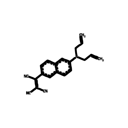 C=CCN(CC=C)c1ccc2cc(C(C#N)=C(C#N)C#N)ccc2c1